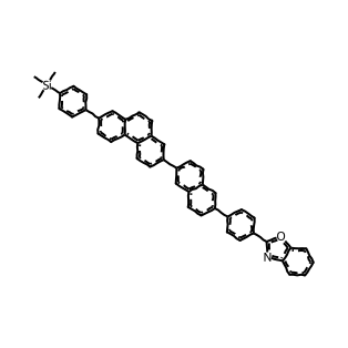 C[Si](C)(C)c1ccc(-c2ccc3c(ccc4cc(-c5ccc6cc(-c7ccc(-c8nc9ccccc9o8)cc7)ccc6c5)ccc43)c2)cc1